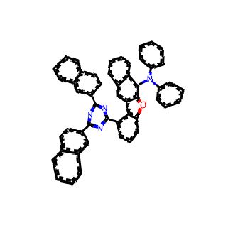 c1ccc(N(c2ccccc2)c2c3ccccc3cc3c2oc2cccc(-c4nc(-c5ccc6ccccc6c5)nc(-c5ccc6ccccc6c5)n4)c23)cc1